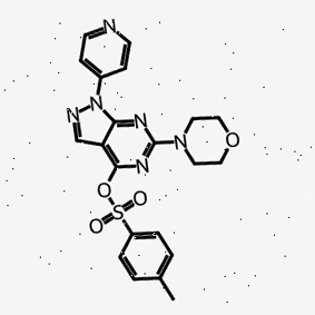 Cc1ccc(S(=O)(=O)Oc2nc(N3CCOCC3)nc3c2cnn3-c2ccncc2)cc1